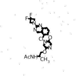 CC(=O)NC(C)COc1cnc(Oc2ccc3nc(N4CC(F)(F)C4)ncc3c2Cl)cn1